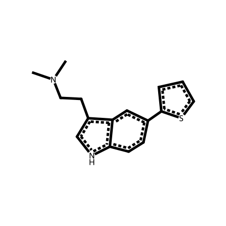 CN(C)CCc1c[nH]c2ccc(-c3cccs3)cc12